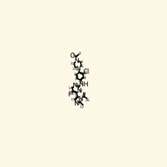 CC(=O)N1CCN(c2ccc(Nc3ncc(F)c(-c4cnc(C)n4C(C)C)n3)cc2Cl)CC1